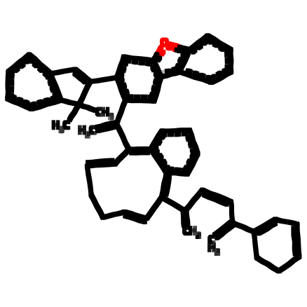 C=C(/C=C\C(=C)C1=c2\cccc\c2=C(C(=C)c2cc3c(cc2C2=Cc4ccccc4C2(C)C)oc2ccccc23)\C=C\CC\C=C\1)C1=CC=CCC1